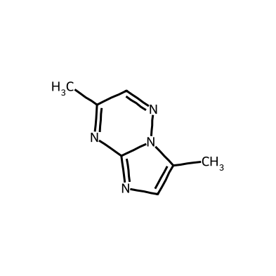 Cc1cnn2c(C)cnc2n1